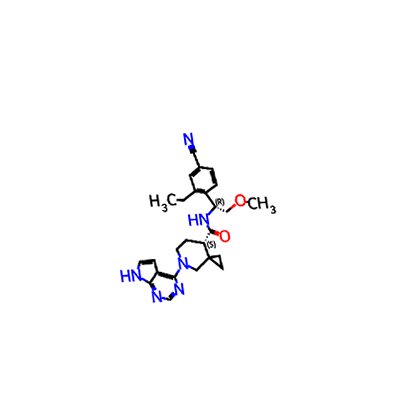 CCc1cc(C#N)ccc1[C@H](COC)NC(=O)[C@H]1CCN(c2ncnc3[nH]ccc23)CC12CC2